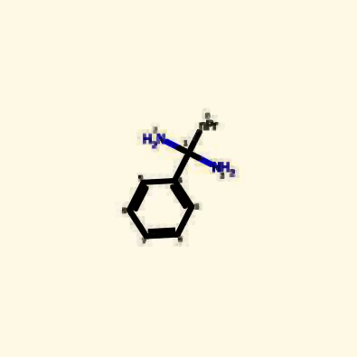 CCCC(N)(N)c1ccccc1